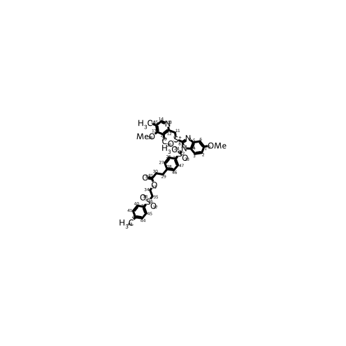 COc1ccc2c(c1)nc([S+]([O-])Cc1ncc(C)c(OC)c1C)n2S(=O)(=O)c1ccc(CCC(=O)OCCS(=O)(=O)c2ccc(C)cc2)cc1